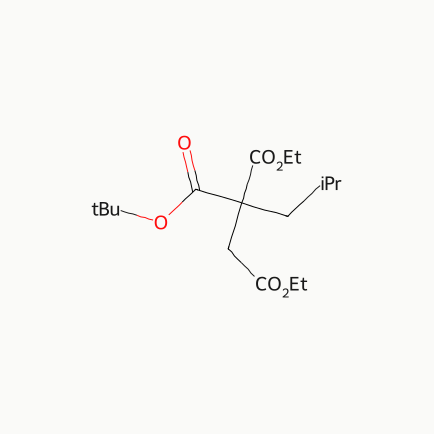 CCOC(=O)CC(CC(C)C)(C(=O)OCC)C(=O)OC(C)(C)C